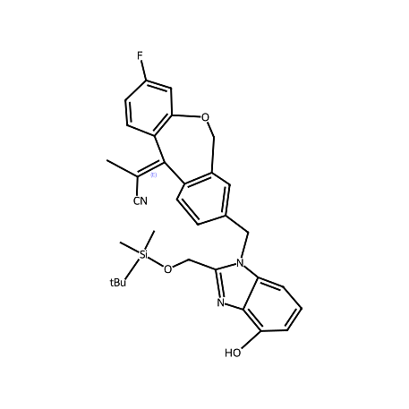 C/C(C#N)=C1/c2ccc(Cn3c(CO[Si](C)(C)C(C)(C)C)nc4c(O)cccc43)cc2COc2cc(F)ccc21